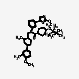 COc1ncc(-c2cccc(N(CC3CCC(c4ccc(OC)c(C)c4)CC3C)C(=O)[C@H]3CC[C@H](O[Si](C)(C)C(C)(C)C)CC3)c2)s1